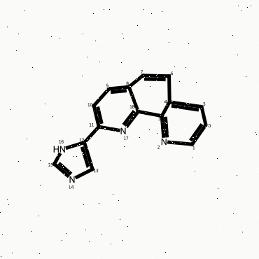 c1cnc2c(c1)ccc1ccc(-c3cnc[nH]3)nc12